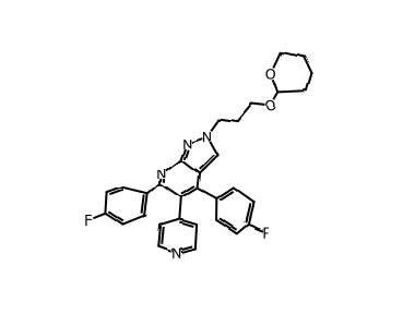 Fc1ccc(-c2nc3nn(CCCOC4CCCCO4)cc3c(-c3ccc(F)cc3)c2-c2ccncc2)cc1